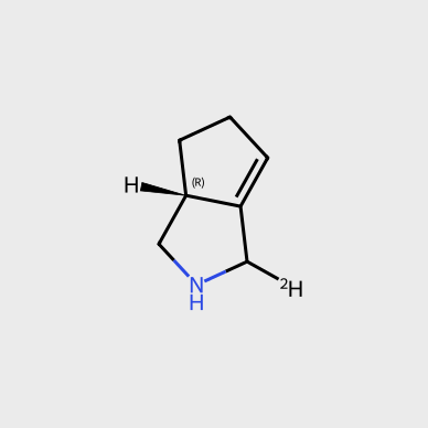 [2H]C1NC[C@@H]2CCC=C12